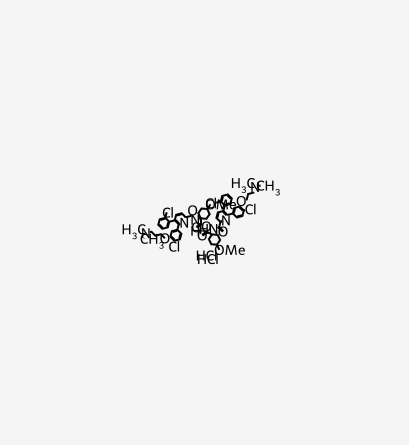 COC1CCC(NC(=O)c2ccc(-c3ccccc3Cl)c(-c3ccc(Cl)c(OCCCN(C)C)c3)n2)(C(=O)OC(=O)C2(NC(=O)c3ccc(-c4ccccc4Cl)c(-c4ccc(Cl)c(OCCCN(C)C)c4)n3)CCC(OC)CC2)CC1.Cl.Cl